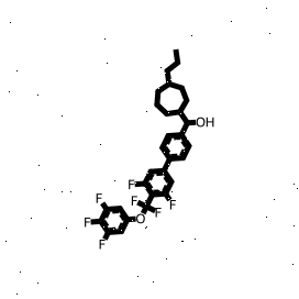 CCCC1CCCC(C(O)c2ccc(-c3cc(F)c(C(F)(F)Oc4cc(F)c(F)c(F)c4)c(F)c3)cc2)CC1